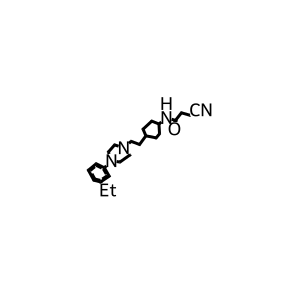 CCc1cccc(N2CCN(CCC3CCC(NC(=O)CCC#N)CC3)CC2)c1